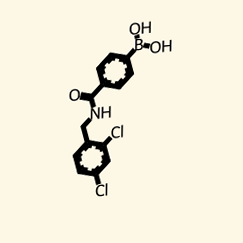 O=C(NCc1ccc(Cl)cc1Cl)c1ccc(B(O)O)cc1